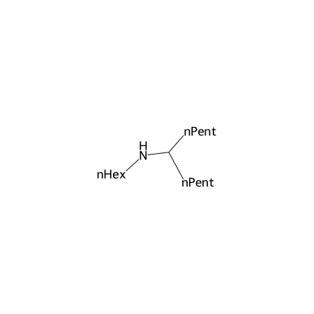 CCCCCCNC(CCCCC)CCCCC